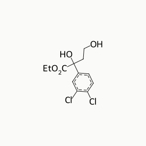 CCOC(=O)C(O)(CCO)c1ccc(Cl)c(Cl)c1